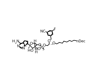 CCCCCCCCCCCCCCCCCCOC[C@H](COP(O)(=S)OC1[C@H]2O[C@@](C)(c3ccc4c(N)ncnn34)[C@H](O)[C@@]12O)OCc1cc(F)cc(C#N)c1